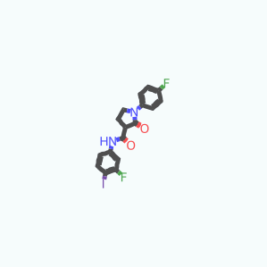 O=C(Nc1ccc(I)c(F)c1)C1CCN(c2ccc(F)cc2)C1=O